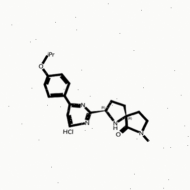 CC(C)Oc1ccc(-c2ccnc([C@H]3CC[C@]4(CCN(C)C4=O)N3)n2)cc1.Cl